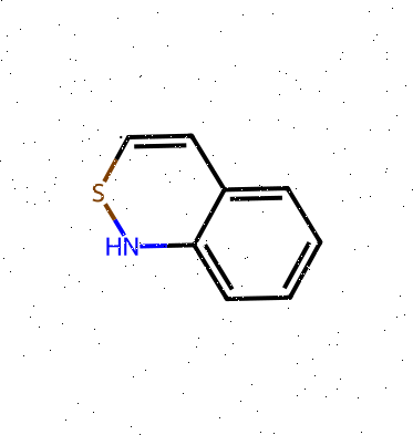 [C]1=Cc2ccccc2NS1